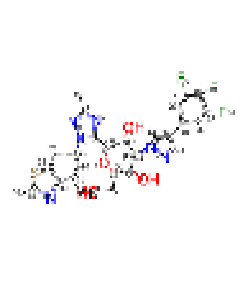 Cc1nc([C@@H]2O[C@H](CO)[C@H](O)[C@H](n3cc(-c4cc(F)c(F)c(F)c4)cn3)[C@H]2O)n(-c2cc(C#N)c3nc(C)sc3c2)n1